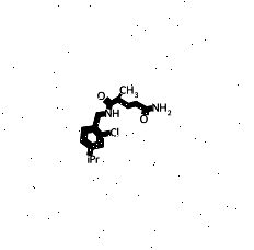 CC(C)c1ccc(CNC(=O)[C@@H](C)CCC(N)=O)c(Cl)c1